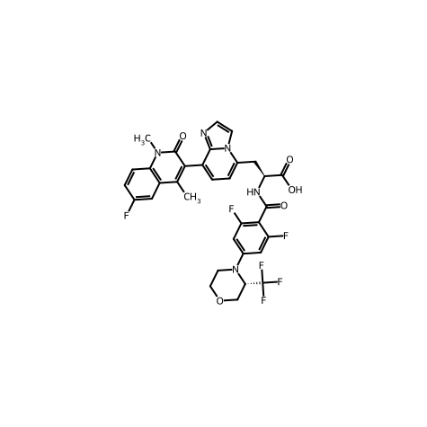 Cc1c(-c2ccc(C[C@H](NC(=O)c3c(F)cc(N4CCOC[C@H]4C(F)(F)F)cc3F)C(=O)O)n3ccnc23)c(=O)n(C)c2ccc(F)cc12